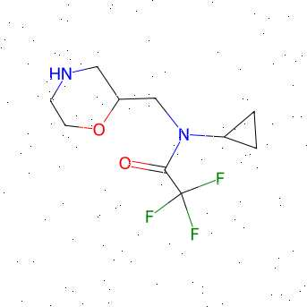 O=C(N(CC1CNCCO1)C1CC1)C(F)(F)F